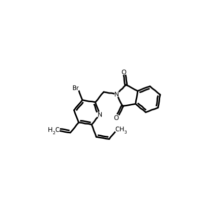 C=Cc1cc(Br)c(CN2C(=O)c3ccccc3C2=O)nc1/C=C\C